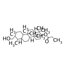 CCC(=O)O[C@H]1CC[C@]2(C)[C@H]3CC[C@@H]4C(C)[C@@](C)(CO)CC[C@@]4(C)[C@]3(C)CC[C@H]2C1(C)C